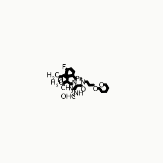 C=C(Cl)/C=C\C(=C(C)C)c1nc(NC=O)c(C(=O)N(CCCOC2CCCCO2)C(C)C)n1Cc1ccc(F)cc1